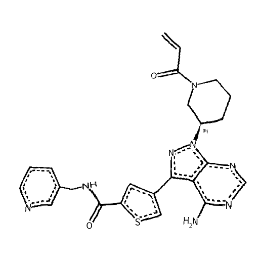 C=CC(=O)N1CCC[C@@H](n2nc(-c3csc(C(=O)Nc4cccnc4)c3)c3c(N)ncnc32)C1